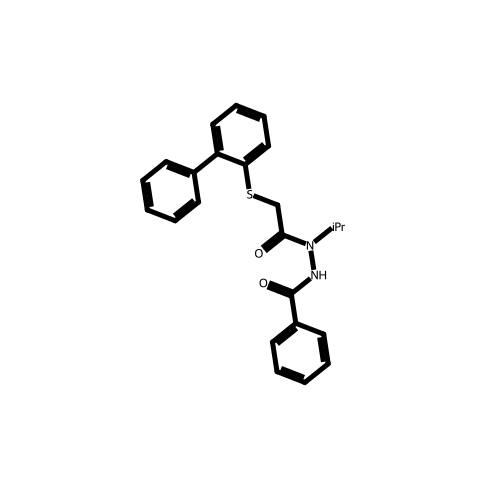 CC(C)N(NC(=O)c1ccccc1)C(=O)CSc1ccccc1-c1ccccc1